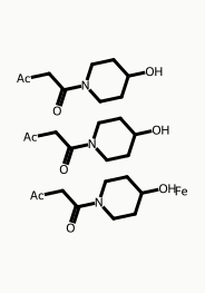 CC(=O)CC(=O)N1CCC(O)CC1.CC(=O)CC(=O)N1CCC(O)CC1.CC(=O)CC(=O)N1CCC(O)CC1.[Fe]